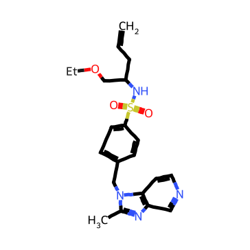 C=CCC(COCC)NS(=O)(=O)c1ccc(Cn2c(C)nc3cnccc32)cc1